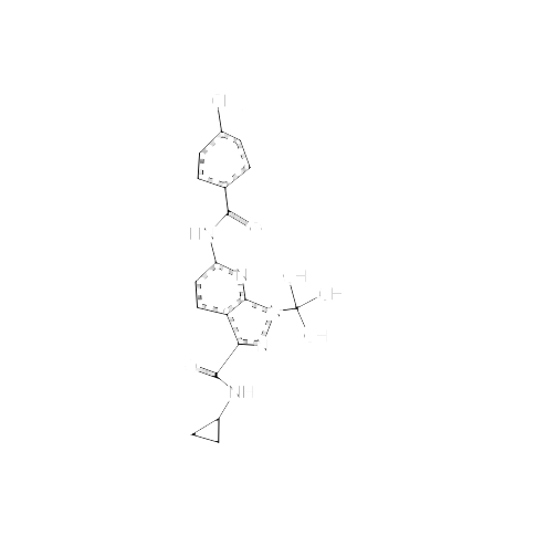 Cc1ccc(C(=O)Nc2ccc3c(C(=O)NC4CC4)nn(C(C)(C)C)c3n2)cc1